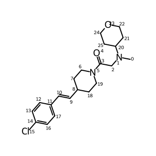 CN(CC(=O)N1CCC(/C=C/c2ccc(Cl)cc2)CC1)C1CCOCC1